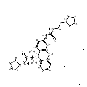 CC(C)(C(=O)Nc1nncs1)[C@H]1c2ccccc2Oc2nc(NC(=O)NCCN3CCCC3)ccc21